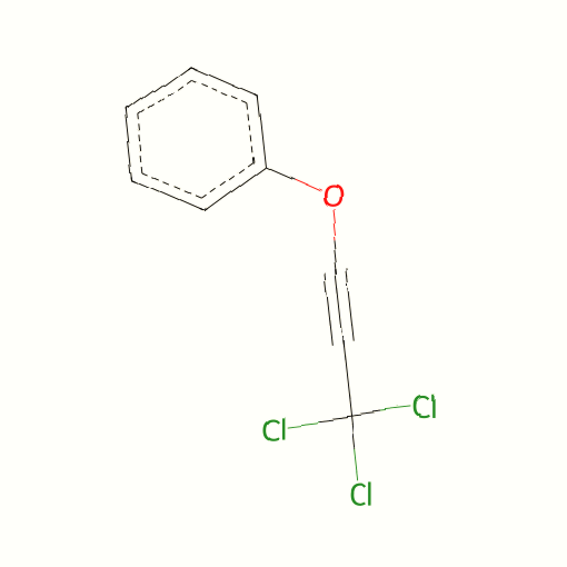 ClC(Cl)(Cl)C#COc1ccccc1